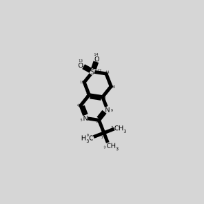 CC(C)(C)c1ncc2c(n1)CCS(=O)(=O)C2